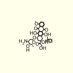 CC(C)=O.COc1cccc2c1C(=O)c1c(O)c3c(c(O)c1C2=O)C[C@@](O)(C(=O)CO)C[C@@H]3O[C@H]1C[C@H](N)[C@@H](O)[C@H](C)O1.Cl